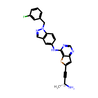 C[C@@H](N)C#Cc1cc2ncnc(Nc3ccc4c(cnn4Cc4cccc(F)c4)c3)c2s1